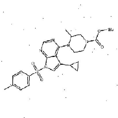 Cc1ccc(S(=O)(=O)n2cc(C3CC3)c3c(N4CCN(C(=O)OC(C)(C)C)CC4C)ncnc32)cc1